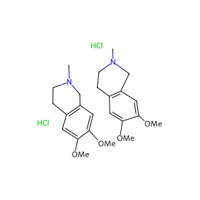 COc1cc2c(cc1OC)CN(C)CC2.COc1cc2c(cc1OC)CN(C)CC2.Cl.Cl